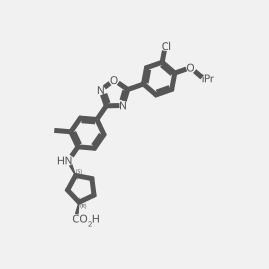 Cc1cc(-c2noc(-c3ccc(OC(C)C)c(Cl)c3)n2)ccc1N[C@H]1CC[C@@H](C(=O)O)C1